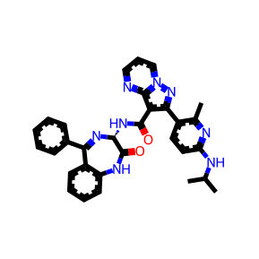 Cc1nc(NC(C)C)ccc1-c1nn2cccnc2c1C(=O)N[C@H]1N=C(c2ccccc2)c2ccccc2NC1=O